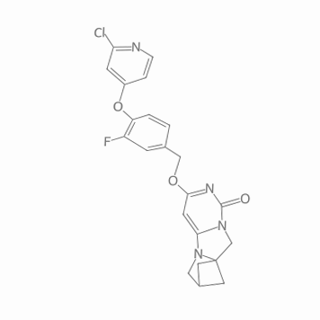 O=c1nc(OCc2ccc(Oc3ccnc(Cl)c3)c(F)c2)cc2n1CC13CC(CN21)C3